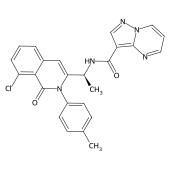 Cc1ccc(-n2c([C@H](C)NC(=O)c3cnn4cccnc34)cc3cccc(Cl)c3c2=O)cc1